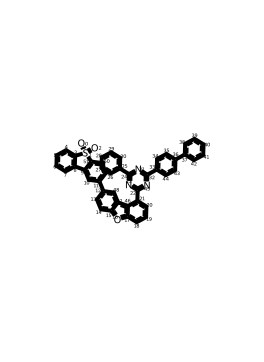 O=S1(=O)c2ccccc2-c2cc(-c3ccc4oc5cccc(-c6nc(-c7ccccc7)nc(-c7ccc(-c8ccccc8)cc7)n6)c5c4c3)ccc21